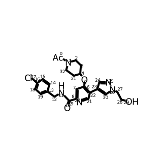 CC(=O)N1CCC(Oc2cc(C(=O)NCc3ccc(Cl)cc3)ncc2-c2cnn(CCO)c2)CC1